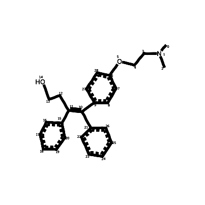 CN(C)CCOc1ccc(/C(=C(\CCO)c2ccccc2)c2ccccc2)cc1